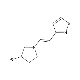 [S]C1CCN(C=Cc2ccsn2)C1